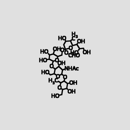 CC(=O)NC1C(OC2C(C)OC(CO)C(O)C2O)OC(CO)C(OC2OC(COC3(OC=O)CC(O)C(C)C(C(O)C(O)CO)O3)C(O)C(O)C2O)C1O